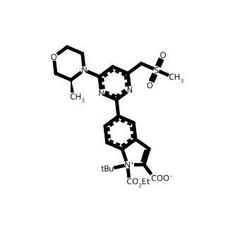 CCOC(=O)[N+]1(C(C)(C)C)C(C(=O)[O-])=Cc2cc(-c3nc(CS(C)(=O)=O)cc(N4CCOC[C@@H]4C)n3)ccc21